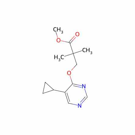 COC(=O)C(C)(C)COc1ncncc1C1CC1